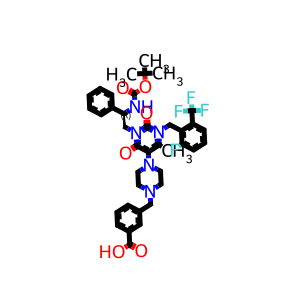 Cc1c(N2CCN(Cc3cccc(C(=O)O)c3)CC2)c(=O)n(C[C@H](NC(=O)OC(C)(C)C)c2ccccc2)c(=O)n1Cc1c(F)cccc1C(F)(F)F